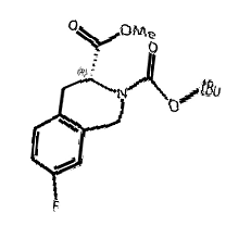 COC(=O)[C@H]1Cc2ccc(F)cc2CN1C(=O)OC(C)(C)C